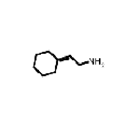 NCC=C1CCCCC1